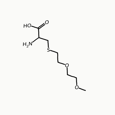 COCCOCCSCC(N)C(=O)O